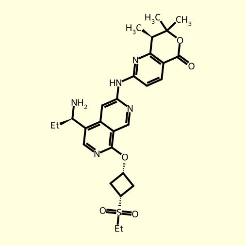 CC[C@@H](N)c1cnc(O[C@H]2C[C@@H](S(=O)(=O)CC)C2)c2cnc(Nc3ccc4c(n3)[C@@H](C)C(C)(C)OC4=O)cc12